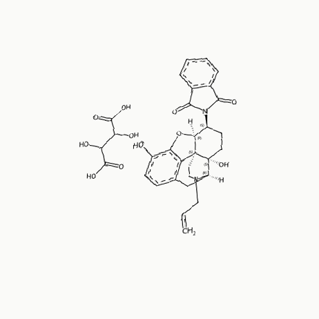 C=CCN1CC[C@]23c4c5ccc(O)c4O[C@H]2[C@@H](N2C(=O)c4ccccc4C2=O)CC[C@@]3(O)[C@H]1C5.O=C(O)C(O)C(O)C(=O)O